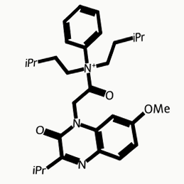 COc1ccc2nc(C(C)C)c(=O)n(CC(=O)[N+](CCC(C)C)(CCC(C)C)c3ccccc3)c2c1